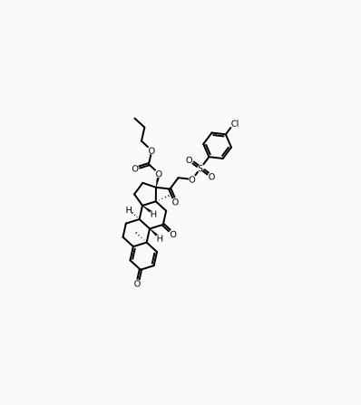 CCCOC(=O)O[C@]1(C(=O)COS(=O)(=O)c2ccc(Cl)cc2)CC[C@H]2[C@@H]3CCC4=CC(=O)C=C[C@]4(C)[C@H]3C(=O)C[C@@]21C